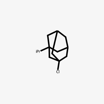 CC(C)C12CC3CC(CC(Cl)(C3)C1)C2